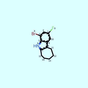 Fc1cc(Br)c2[nH]c3c(c2c1)CCCCC3